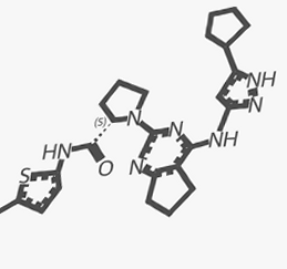 O=C(Nc1ccc(Cl)s1)[C@@H]1CCCN1c1nc2c(c(Nc3cc(C4CCCC4)[nH]n3)n1)CCC2